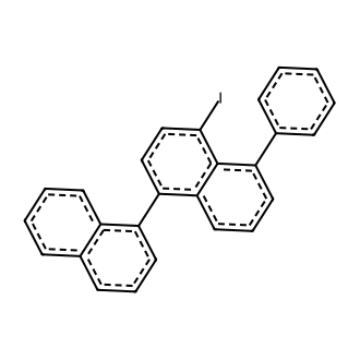 Ic1ccc(-c2cccc3ccccc23)c2cccc(-c3ccccc3)c12